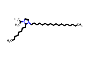 CCCCCCCCCCCCCCCCCCN1C=CN(C(C)C)C1CCCCCCCC